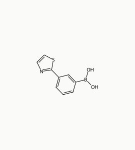 OB(O)c1cccc(-c2nccs2)c1